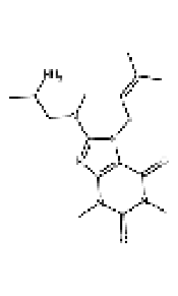 CC(C)=CCn1c(N(C)CC(C)N)nc2c1c(=O)n(C)c(=O)n2C